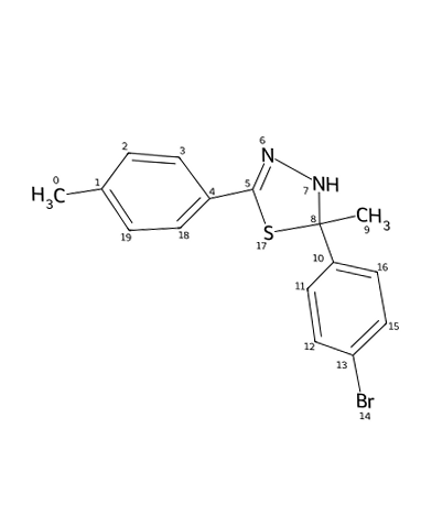 Cc1ccc(C2=NNC(C)(c3ccc(Br)cc3)S2)cc1